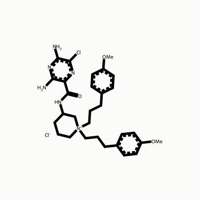 COc1ccc(CCC[N+]2(CCCc3ccc(OC)cc3)CCCC(NC(=O)c3nc(Cl)c(N)nc3N)C2)cc1.[Cl-]